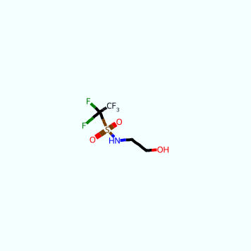 O=S(=O)(NCCO)C(F)(F)C(F)(F)F